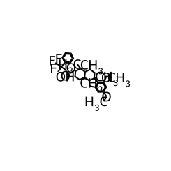 COc1cc2c(c(OC)c1)C1(C)CCC3C(C)(C)C(OC(=O)C(CO)(c4ccccc4)C(F)(F)F)CCC3(C)C1C2